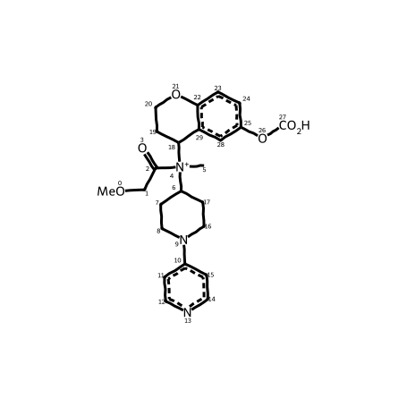 COCC(=O)[N+](C)(C1CCN(c2ccncc2)CC1)C1CCOc2ccc(OC(=O)O)cc21